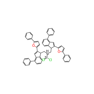 [Cl][Zr]([Cl])[SiH](CC1C(c2ccc(-c3ccccc3)o2)=Cc2c(-c3ccccc3)cccc21)CC1C(c2ccc(-c3ccccc3)o2)=Cc2c(-c3ccccc3)cccc21